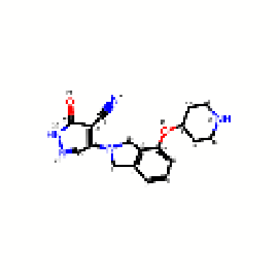 N#Cc1c(N2Cc3cccc(OC4CCNCC4)c3C2)cn[nH]c1=O